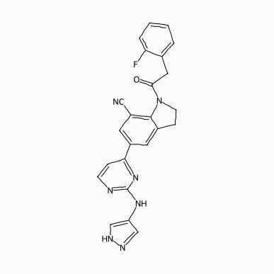 N#Cc1cc(-c2ccnc(Nc3cn[nH]c3)n2)cc2c1N(C(=O)Cc1ccccc1F)CC2